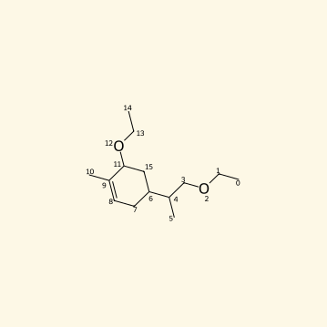 CCOCC(C)C1CC=C(C)C(OCC)C1